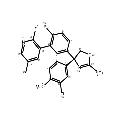 COc1ccc([C@@]2(c3ccc(F)c(-c4cc(C)cnc4F)c3)COC(N)=N2)cc1Cl